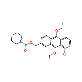 CCOc1c2ccc(COC(=O)N3CCCCC3)cc2c(OCC)c2c(Cl)cccc12